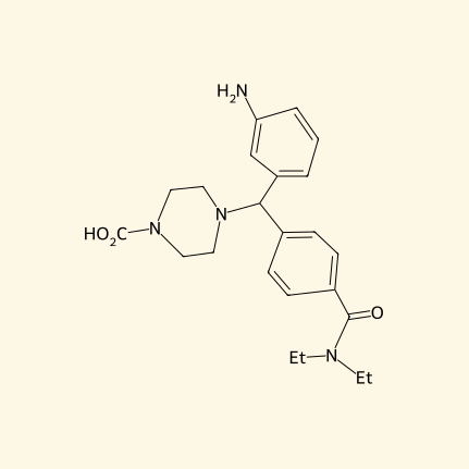 CCN(CC)C(=O)c1ccc(C(c2cccc(N)c2)N2CCN(C(=O)O)CC2)cc1